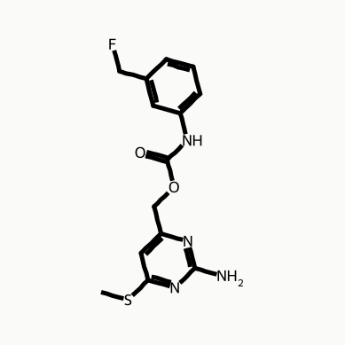 CSc1cc(COC(=O)Nc2cccc(CF)c2)nc(N)n1